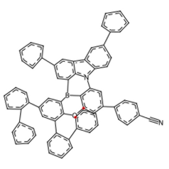 N#Cc1ccc(-c2cc3c4c(c2)-n2c5ccc(-c6ccccc6)cc5c5cc(-c6ccccc6)cc(c52)B4c2cc(-c4ccccc4-c4ccccc4)cc(-c4ccccc4-c4ccccc4)c2O3)cc1